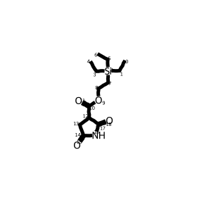 CC[Si](CC)(CC)CCOC(=O)C1CC(=O)NC1=O